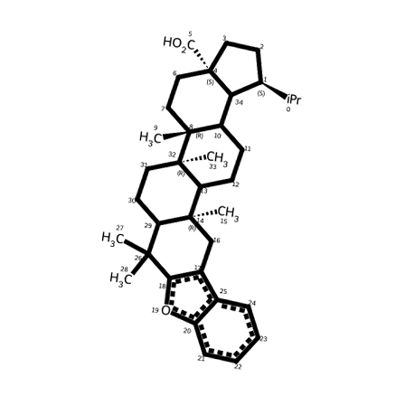 CC(C)[C@@H]1CC[C@]2(C(=O)O)CC[C@]3(C)C(CCC4[C@@]5(C)Cc6c(oc7ccccc67)C(C)(C)C5CC[C@]43C)C12